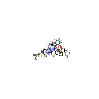 CC(C)(C)[S@@+]([O-])N[C@H]1c2ccccc2CC12CCC(c1cnc(SCC3CC3)cn1)CC2